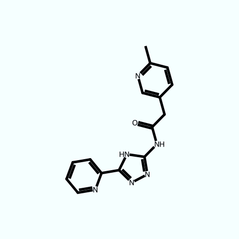 Cc1ccc(CC(=O)Nc2nnc(-c3ccccn3)[nH]2)cn1